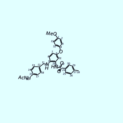 COc1ccc(Oc2ccc(NCc3ccc(NC(C)=O)cc3)c(NS(=O)(=O)c3ccc(C)cc3)c2)cc1